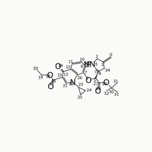 C=C1CN[C@H](C(Oc2c(F)ccc3c(=O)c(C(=O)OCC)cn(C4CC4)c23)C(=O)OC(C)(C)C)C1